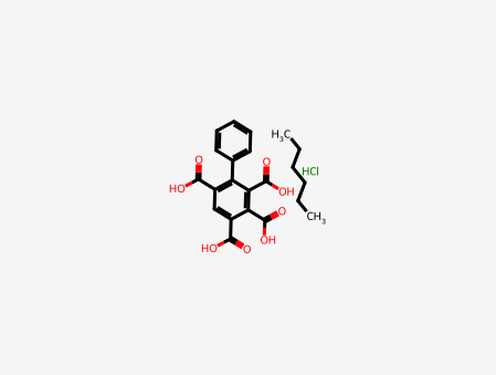 CCCCCC.Cl.O=C(O)c1cc(C(=O)O)c(-c2ccccc2)c(C(=O)O)c1C(=O)O